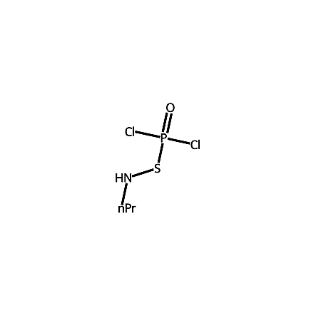 CCCNSP(=O)(Cl)Cl